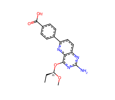 CC[C@H](OC)Oc1nc(N)nc2ccc(-c3ccc(C(=O)O)cc3)nc12